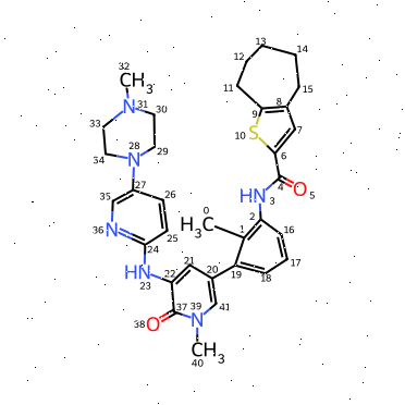 Cc1c(NC(=O)c2cc3c(s2)CCCCC3)cccc1-c1cc(Nc2ccc(N3CCN(C)CC3)cn2)c(=O)n(C)c1